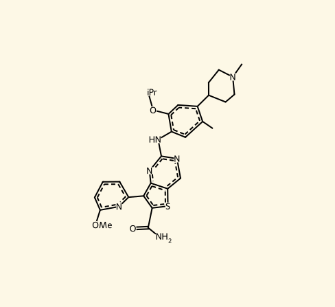 COc1cccc(-c2c(C(N)=O)sc3cnc(Nc4cc(C)c(C5CCN(C)CC5)cc4OC(C)C)nc23)n1